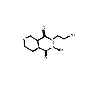 CC(C)(C)OC(=O)N1CCOCC1C(=O)NCCO